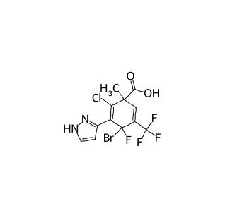 CC1(C(=O)O)C=C(C(F)(F)F)C(F)(Br)C(c2cc[nH]n2)=C1Cl